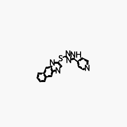 c1ccc2cc3nc(Sc4n[nH]c(-c5ccncc5)n4)cnc3cc2c1